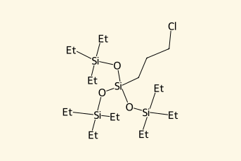 CC[Si](CC)(CC)O[Si](CCCCl)(O[Si](CC)(CC)CC)O[Si](CC)(CC)CC